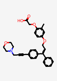 Cc1cc(OC/C=C(/c2ccccc2)c2ccc(C#CCN3CCOCC3)cc2)ccc1OCC(=O)O